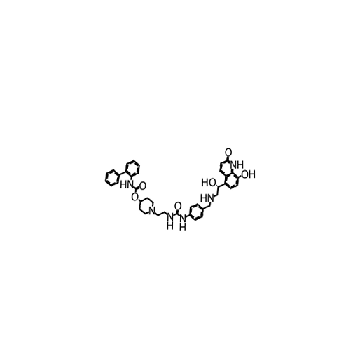 O=C(NCCN1CCC(OC(=O)Nc2ccccc2-c2ccccc2)CC1)Nc1ccc(CNC[C@H](O)c2ccc(O)c3[nH]c(=O)ccc23)cc1